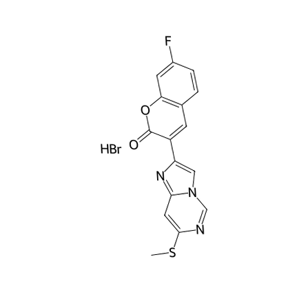 Br.CSc1cc2nc(-c3cc4ccc(F)cc4oc3=O)cn2cn1